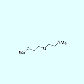 CNCCOCCOC(C)(C)C